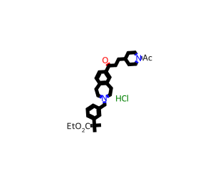 CCOC(=O)C(C)(C)c1cccc(CN2CCc3ccc(C(=O)CCC4CCN(C(C)=O)CC4)cc3CC2)c1.Cl